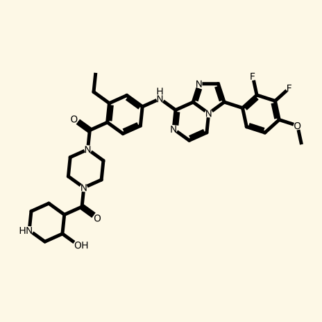 CCc1cc(Nc2nccn3c(-c4ccc(OC)c(F)c4F)cnc23)ccc1C(=O)N1CCN(C(=O)C2CCNCC2O)CC1